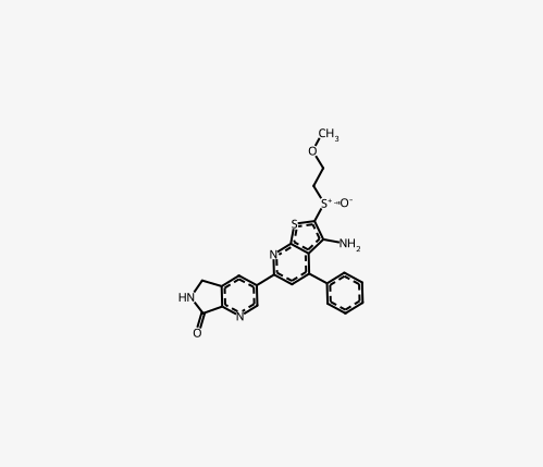 COCC[S@+]([O-])c1sc2nc(-c3cnc4c(c3)CNC4=O)cc(-c3ccccc3)c2c1N